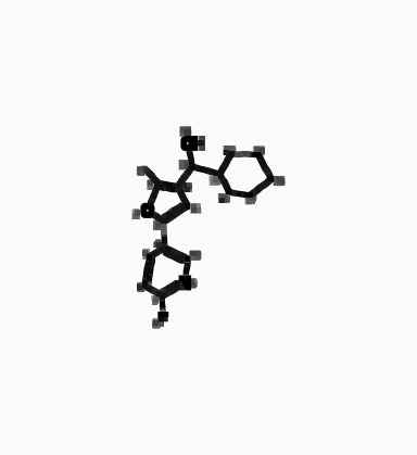 Cc1oc(-c2ccc(F)nc2)cc1C(O)C1CCCCC1